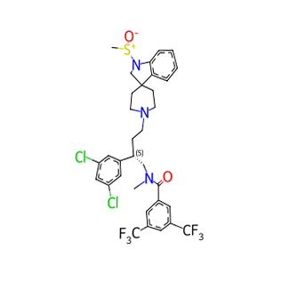 CN(C[C@@H](CCN1CCC2(CC1)CN([S+](C)[O-])c1ccccc12)c1cc(Cl)cc(Cl)c1)C(=O)c1cc(C(F)(F)F)cc(C(F)(F)F)c1